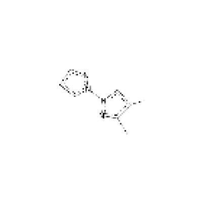 Cc1cn(-n2cccn2)nc1C